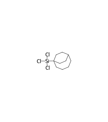 Cl[Si](Cl)(Cl)C12CCCCC(CC1)CC2